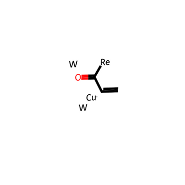 C=C[C](=O)[Re].[Cu].[W].[W]